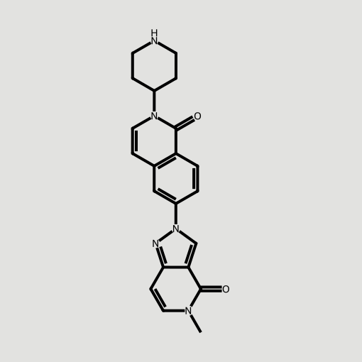 Cn1ccc2nn(-c3ccc4c(=O)n(C5CCNCC5)ccc4c3)cc2c1=O